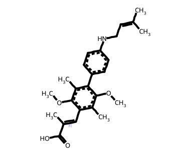 COc1c(C)c(-c2ccc(NCC=C(C)C)cc2)c(OC)c(C)c1/C=C(\C)C(=O)O